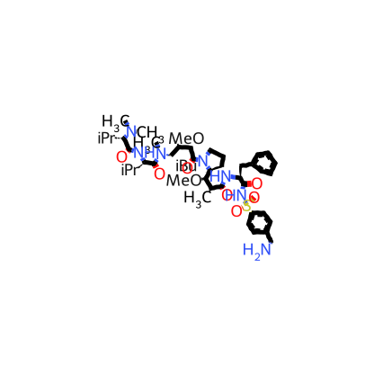 CC[C@H](C)[C@@H]([C@@H](CC(=O)N1CCC[C@H]1[C@H](OC)[C@@H](C)C(=O)N[C@@H](Cc1ccccc1)C(=O)NS(=O)(=O)c1ccc(CN)cc1)OC)N(C)C(=O)[C@@H](NC(=O)[C@H](C(C)C)N(C)C)C(C)C